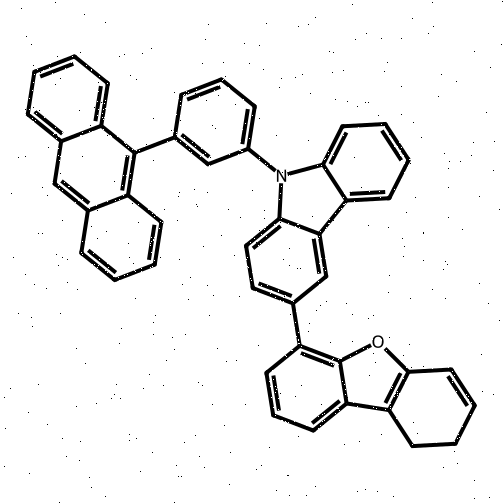 C1=Cc2oc3c(-c4ccc5c(c4)c4ccccc4n5-c4cccc(-c5c6ccccc6cc6ccccc56)c4)cccc3c2CC1